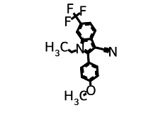 CCn1c(-c2ccc(OC)cc2)c(C#N)c2ccc(C(F)(F)F)cc21